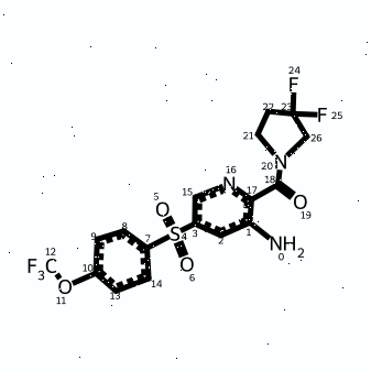 Nc1cc(S(=O)(=O)c2ccc(OC(F)(F)F)cc2)cnc1C(=O)N1CCC(F)(F)C1